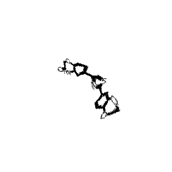 O=C1COc2ccc(-c3csc(-c4ccc5c(c4)OCCO5)n3)cc2N1